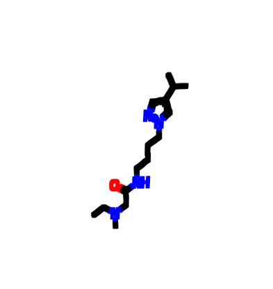 CCN(C)CC(=O)NCCCCn1cc(C(C)C)cn1